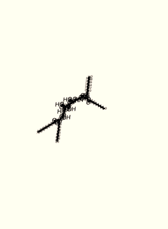 CCCCCCCCCCCCCC(=O)OC[C@H](COP(=O)(O)OCCNC(=O)CN(CCN(CCN(CC(=O)O)CC(=O)NCCOP(=O)(O)OC[C@@H](COC(=O)CCCCCCCCCCCCC)OC(=O)CCCCCCCCCCCCC)CC(=O)O)CC(=O)O)OC(=O)CCCCCCCCCCCCC